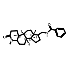 CN1C(=O)CC[C@@]2(C)C1CC[C@@H]1[C@H]2CC[C@]2(C)C(CNC(=O)c3ccccc3)CC[C@@H]12